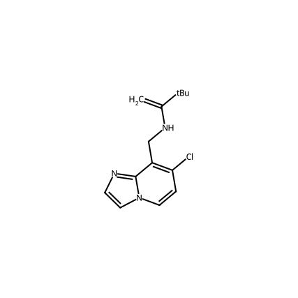 C=C(NCc1c(Cl)ccn2ccnc12)C(C)(C)C